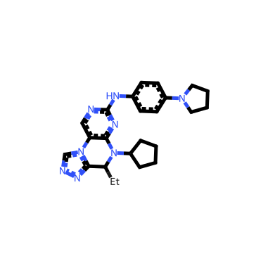 CCC1c2nncn2-c2cnc(Nc3ccc(N4CCCC4)cc3)nc2N1C1CCCC1